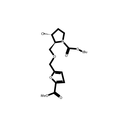 COC(=O)c1ccc(COC[C@H]2[C@H](Cl)CCN2C(=O)OC(C)(C)C)o1